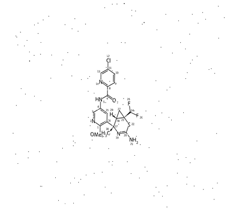 COc1ncc(NC(=O)c2ccc(Cl)cn2)cc1[C@@]1(C)N=C(N)S[C@@]2(C(F)F)C[C@@H]12